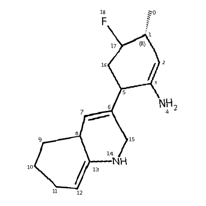 C[C@@H]1C=C(N)C(C2=CC3CCCC=C3NC2)CC1F